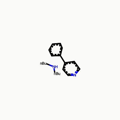 CCCCNCCCC.c1ccc(-c2ccncc2)cc1